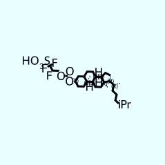 CC(C)CCC[C@@H](C)[C@H]1CC[C@H]2[C@@H]3CCC4C[C@@H](OC(=O)OCC(F)C(F)(F)S(=O)(=O)O)CC[C@]4(C)[C@H]3CC[C@]12C